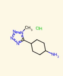 Cl.Cn1nnnc1C1CCC(N)CC1